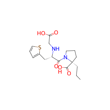 CCC[C@@]1(C(=O)O)CCCN1C(=O)[C@H](Cc1cccs1)NCC(=O)O